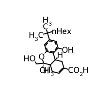 CCCCCCC(C)(C)c1cc(O)c2c(c1)O[C@](C)(CO)[C@@H]1CC=C(C(=O)O)C[C@@H]21